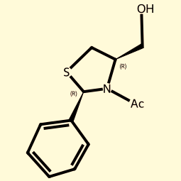 CC(=O)N1[C@H](CO)CS[C@@H]1c1ccccc1